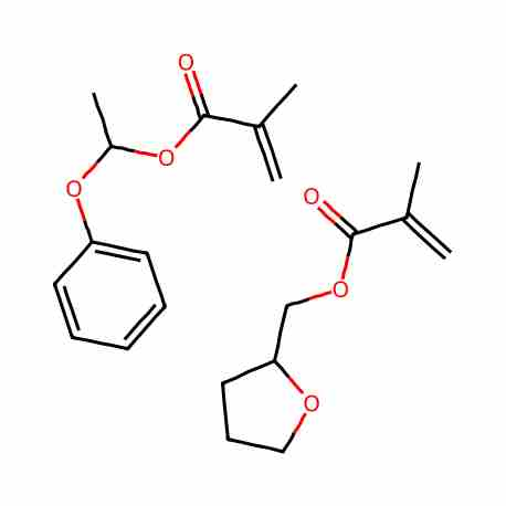 C=C(C)C(=O)OC(C)Oc1ccccc1.C=C(C)C(=O)OCC1CCCO1